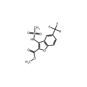 COC(=O)c1oc2ccc(C(F)(F)F)cc2c1NS(C)(=O)=O